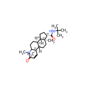 CN1C(=O)C=C[C@@]2(C)C1CC[C@H]1[C@@H]3CC[C@H](C(=O)NC(C)(C)C)[C@@]3(C)CC[C@@H]12